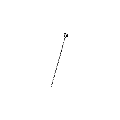 CCCCCCCCCCCCCCCCCCCCCCCCCCCCCBr